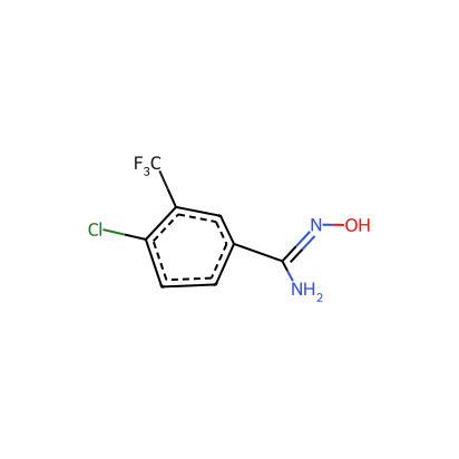 NC(=NO)c1ccc(Cl)c(C(F)(F)F)c1